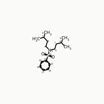 CC(C)CCN(CCC(C)C)S(=O)(=O)c1ccccc1